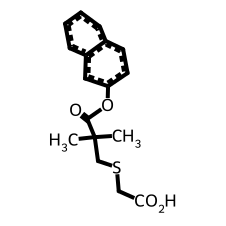 CC(C)(CSCC(=O)O)C(=O)Oc1ccc2ccccc2c1